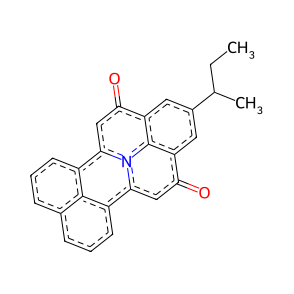 CCC(C)c1cc2c(=O)cc3c4cccc5cccc(c54)c4cc(=O)c(c1)c2n34